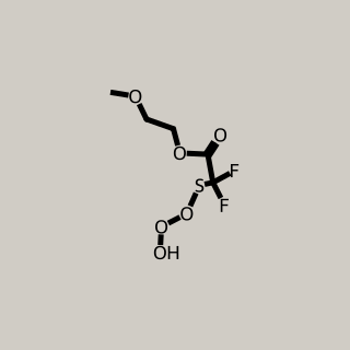 COCCOC(=O)C(F)(F)SOOO